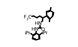 Cc1ccc(C)c(C(CCCC(F)(F)F)CNC(=O)Nc2c(C(C)C)cccc2C(C)C)c1